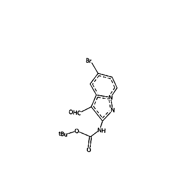 CC(C)(C)OC(=O)Nc1nn2ccc(Br)cc2c1C=O